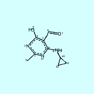 Cc1nc(S)c(C=O)c(NC2CC2)n1